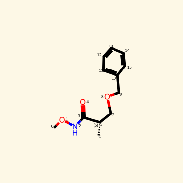 CONC(=O)[C@@H](C)COCc1ccccc1